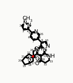 Cn1ccc(-c2ccc(-c3cnn4c5c(c(C6CC7CCC(C6)N7C(=O)CO)nc34)C(=O)CCN5)cn2)n1